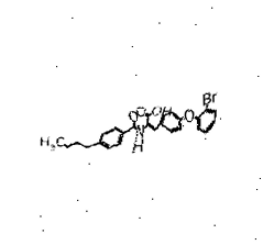 CCCCc1ccc(C(=O)NC(=Cc2ccc(Oc3ccccc3Br)cc2)C(=O)O)cc1